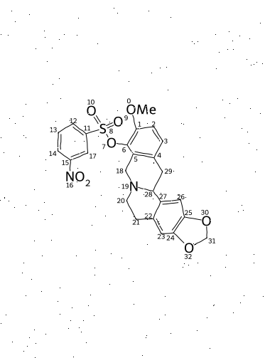 COc1ccc2c(c1OS(=O)(=O)c1cccc([N+](=O)[O-])c1)CN1CCc3cc4c(cc3C1C2)OCO4